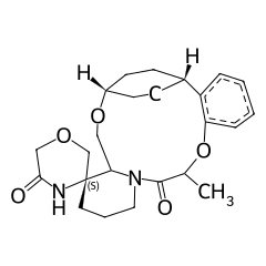 CC1Oc2ccccc2[C@H]2CC[C@H](CC2)OCC2N(CCC[C@@]23COCC(=O)N3)C1=O